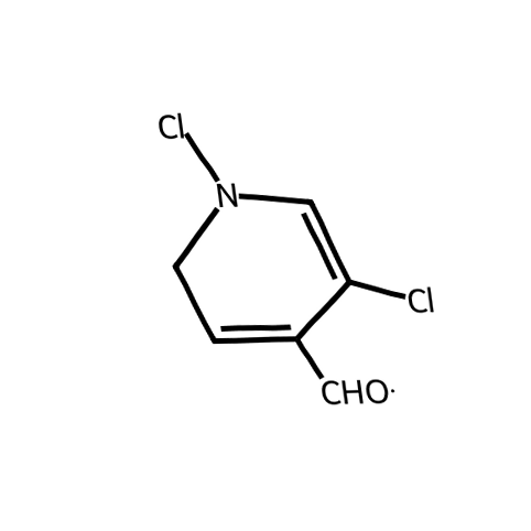 O=[C]C1=CCN(Cl)C=C1Cl